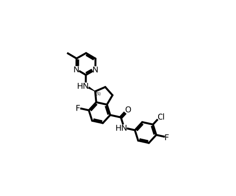 Cc1ccnc(N[C@H]2CCc3c(C(=O)Nc4ccc(F)c(Cl)c4)ccc(F)c32)n1